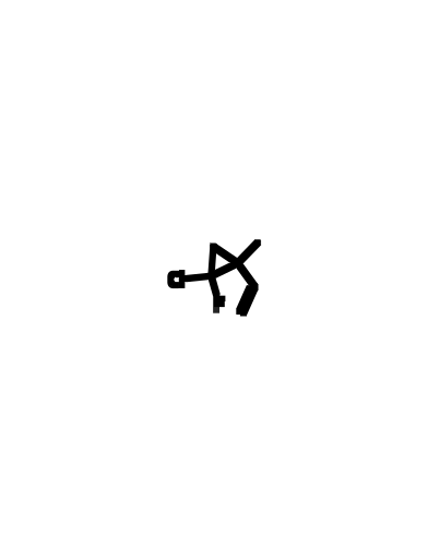 C=CC1(C)CC1(F)Cl